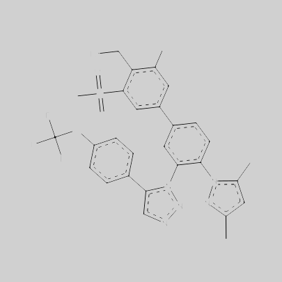 Cc1cc(C)n(-c2ccc(-c3cc(Cl)c(CO)c(S(C)(=O)=O)c3)cc2-n2nncc2-c2ccc(OC(F)(F)F)cc2)n1